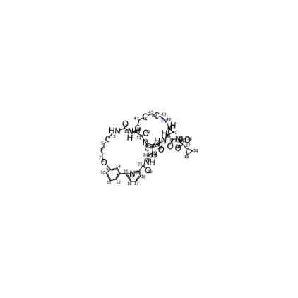 O=C1NCCCCCOc2cccc(c2)-c2cccc(n2)C(=O)N[C@@H]2C[C@H]3C(=O)N[C@]4(C(=O)NS(=O)(=O)C5CC5)C[C@H]4/C=C\CCCCC[C@H](N1)C(=O)N3C2